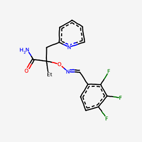 CCC(Cc1ccccn1)(ON=Cc1ccc(F)c(F)c1F)C(N)=O